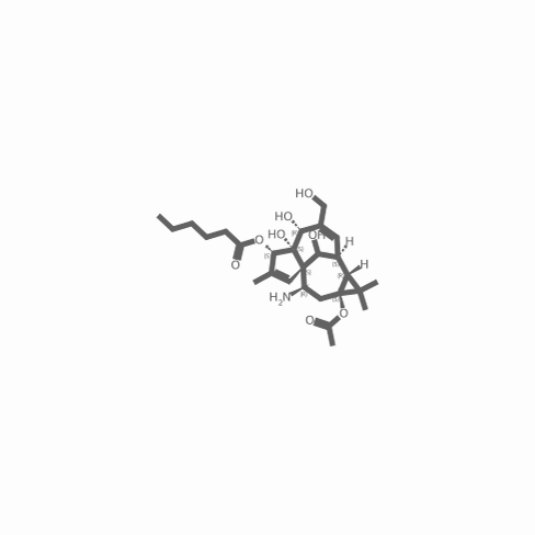 CCCCCC(=O)O[C@H]1C(C)=C[C@]23C(O)[C@@H](C=C(CO)[C@@H](O)[C@]12O)[C@@H]1C(C)(C)[C@]1(OC(C)=O)C[C@H]3N